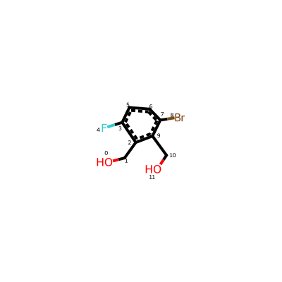 OCc1c(F)ccc(Br)c1CO